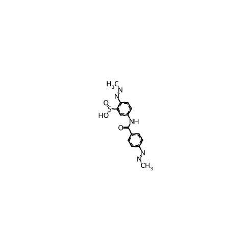 C/N=N/c1ccc(C(=O)Nc2ccc(/N=N/C)c(S(=O)O)c2)cc1